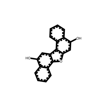 Oc1cc2c(oc3cc(O)c4ccccc4c32)c2ccccc12